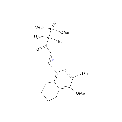 CCC(C)(C(=O)/C=C/c1cc(C(C)(C)C)c(OC)c2c1CCCC2)P(=O)(OC)OC